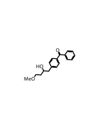 COCCC(O)Cc1ccc(C(=O)c2ccccc2)cc1